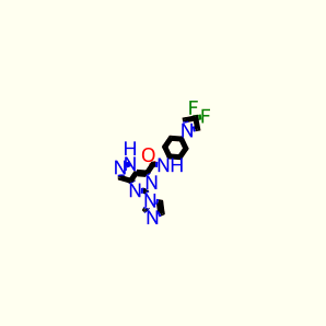 O=C(N[C@H]1CC[C@H](N2CC(F)(F)C2)CC1)c1nc(-n2ccnc2)nc2cn[nH]c12